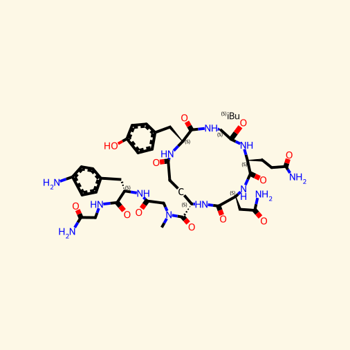 CC[C@H](C)[C@@H]1NC(=O)[C@H](Cc2ccc(O)cc2)NC(=O)CC[C@@H](C(=O)N(C)CC(=O)N[C@@H](Cc2ccc(N)cc2)C(=O)NCC(N)=O)NC(=O)[C@H](CC(N)=O)NC(=O)[C@H](CCC(N)=O)NC1=O